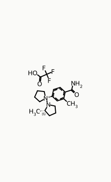 Cc1cc([N+]2(N3CCC[C@@H]3C)CCCC2)ccc1C(N)=O.O=C(O)C(F)(F)F